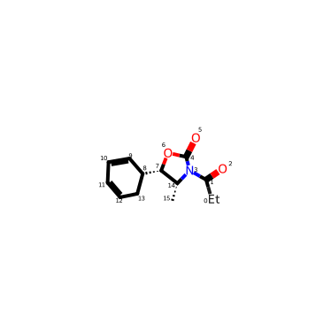 CCC(=O)N1C(=O)O[C@@H](C2C=CC=CC2)[C@H]1C